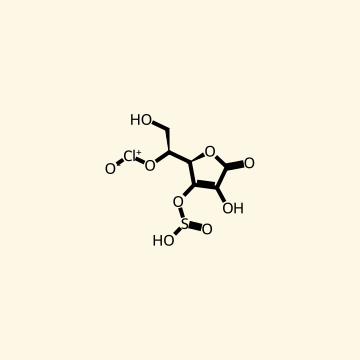 O=C1O[C@H]([C@H](CO)O[Cl+][O-])C(OS(=O)O)=C1O